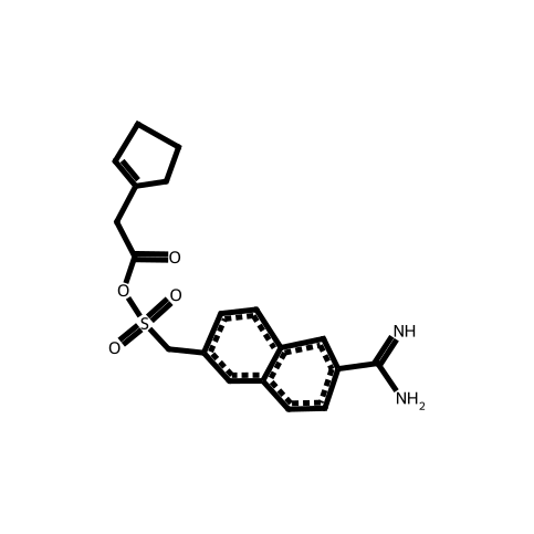 N=C(N)c1ccc2cc(CS(=O)(=O)OC(=O)CC3=CCCC3)ccc2c1